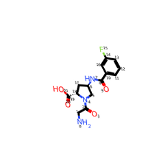 NCC(=O)N1C[C@H](NC(=O)c2cccc(F)c2)C[C@H]1C(=O)O